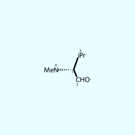 CN[C@@H]([C]=O)C(C)C